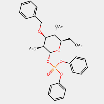 CC(=O)OC[C@H]1O[C@H](OP(=O)(Oc2ccccc2)Oc2ccccc2)[C@@H](OC(C)=O)[C@@H](OCc2ccccc2)[C@@H]1OC(C)=O